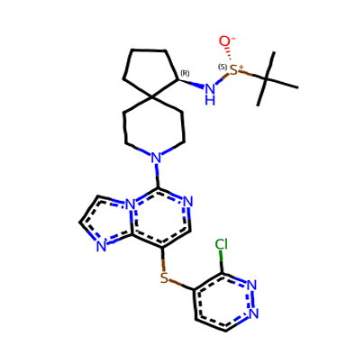 CC(C)(C)[S@@+]([O-])N[C@@H]1CCCC12CCN(c1ncc(Sc3ccnnc3Cl)c3nccn13)CC2